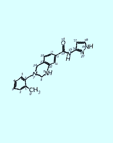 Cc1ccccc1N1CNc2cc(C(=O)Nc3cc[nH]n3)ccc2C1